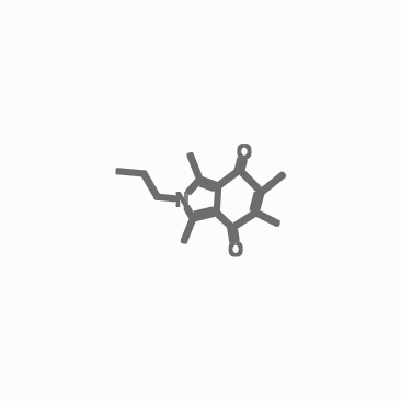 CCCn1c(C)c2c(c1C)C(=O)C(C)=C(C)C2=O